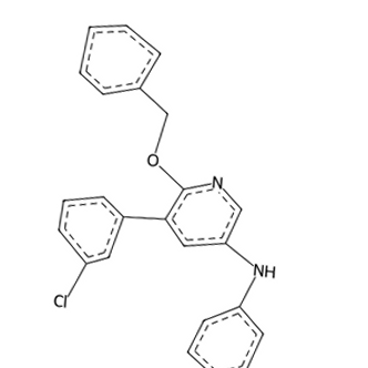 Clc1cccc(-c2cc(Nc3ccccc3)cnc2OCc2ccccc2)c1